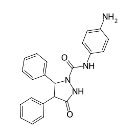 Nc1ccc(NC(=O)N2NC(=O)C(c3ccccc3)C2c2ccccc2)cc1